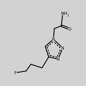 NC(=O)Cn1cc(CCCF)nn1